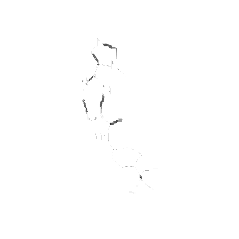 Cn1cncc1-c1nccc(C(=O)NC2CCC(C(F)(F)F)CC2)n1